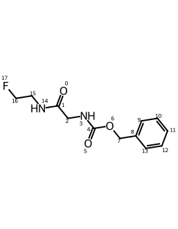 O=C(CNC(=O)OCc1ccccc1)NCCF